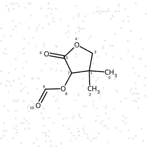 CC1(C)COC(=O)C1OC=O